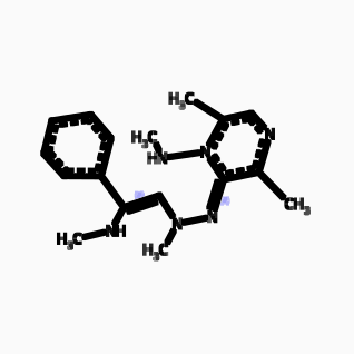 CN/C(=C\N(C)/N=c1/c(C)ncc(C)n1NC)c1ccccc1